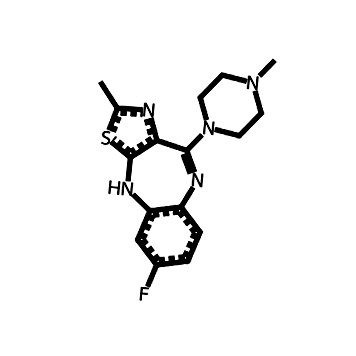 Cc1nc2c(s1)Nc1cc(F)ccc1N=C2N1CCN(C)CC1